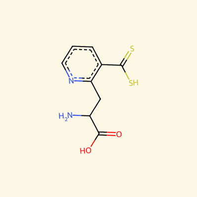 NC(Cc1ncccc1C(=S)S)C(=O)O